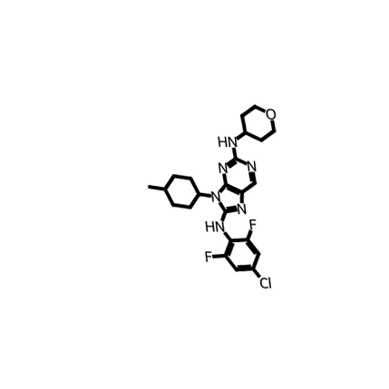 CC1CCC(n2c(Nc3c(F)cc(Cl)cc3F)nc3cnc(NC4CCOCC4)nc32)CC1